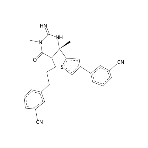 CN1C(=N)N[C@](C)(c2cc(-c3cccc(C#N)c3)cs2)C(CCCc2cccc(C#N)c2)C1=O